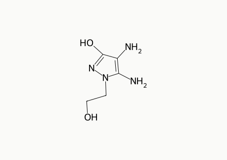 Nc1c(O)nn(CCO)c1N